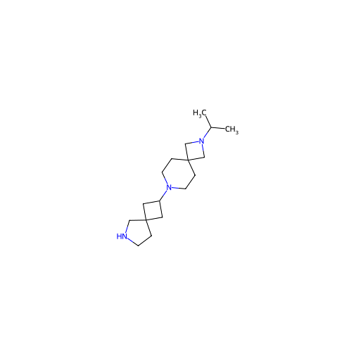 CC(C)N1CC2(CCN(C3CC4(CCNC4)C3)CC2)C1